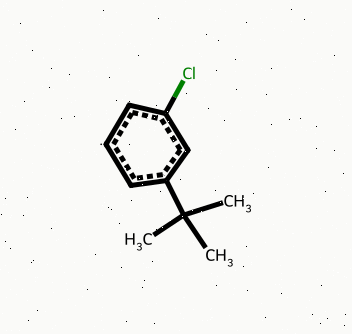 CC(C)(C)c1c[c]cc(Cl)c1